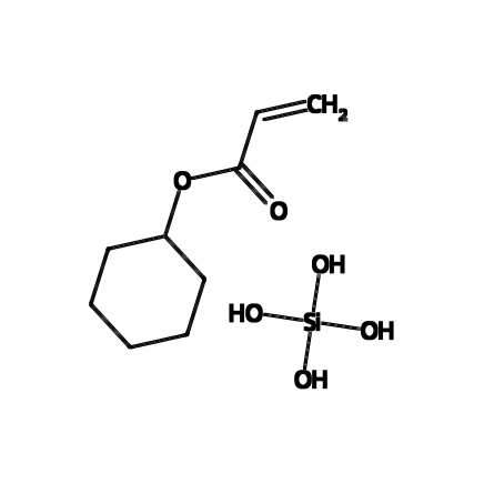 C=CC(=O)OC1CCCCC1.O[Si](O)(O)O